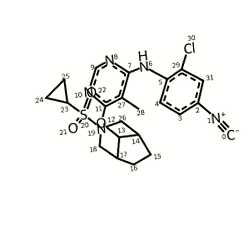 [C-]#[N+]c1ccc(Nc2ncnc(OC3C4CCC3CN(S(=O)(=O)C3CC3)C4)c2C)c(Cl)c1